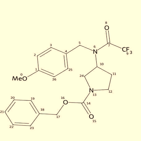 COc1ccc(CN(C(=O)C(F)(F)F)C2CCN(C(=O)OCc3ccccc3)C2)cc1